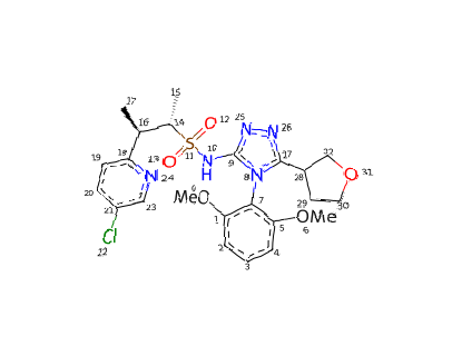 COc1cccc(OC)c1-n1c(NS(=O)(=O)[C@@H](C)[C@H](C)c2ccc(Cl)cn2)nnc1C1CCOC1